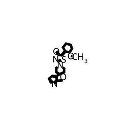 COC1CCCC/C1=C1/SC(N2CCC3(CC2)OCc2ncccc23)=NC1=O